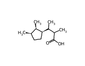 CC(C(=O)O)C(C)[C@H]1CC[C@@H](C)[C@H]1C